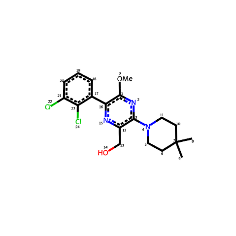 COc1nc(N2CCC(C)(C)CC2)c(CO)nc1-c1cccc(Cl)c1Cl